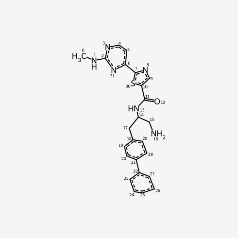 CNc1nccc(-c2ncc(C(=O)NC(CN)Cc3ccc(-c4ccccc4)cc3)s2)n1